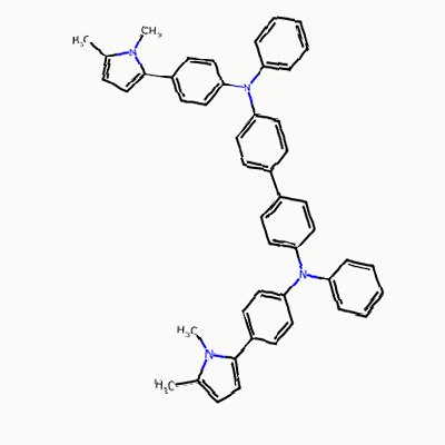 Cc1ccc(-c2ccc(N(c3ccccc3)c3ccc(-c4ccc(N(c5ccccc5)c5ccc(-c6ccc(C)n6C)cc5)cc4)cc3)cc2)n1C